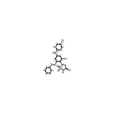 O=C1CN(c2c(F)cc(Nc3ncc(Cl)cn3)cc2OCc2ccccc2)S(=O)(=O)N1